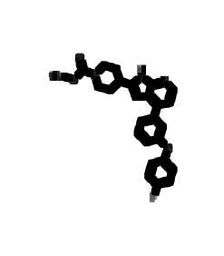 CC(C)(C)OC(=O)N1CCC(c2cc3c(-c4cccc(Oc5ccc(F)cc5)c4)ccnc3[nH]2)CC1